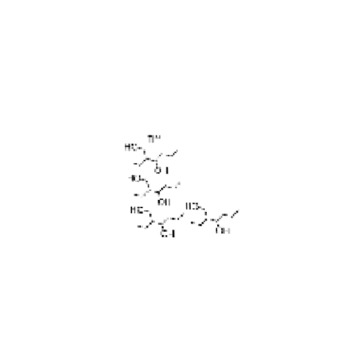 CCCC(O)C(CC)CO.CCCC(O)C(CC)CO.CCCC(O)C(CC)CO.CCCC(O)C(CC)CO.[Ti+4]